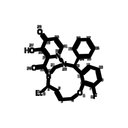 CC[C@@H]1/C=C/COc2c(F)cccc2[C@H](c2ccccc2)N2CN1C(=O)c1c(O)c(=O)ccn12